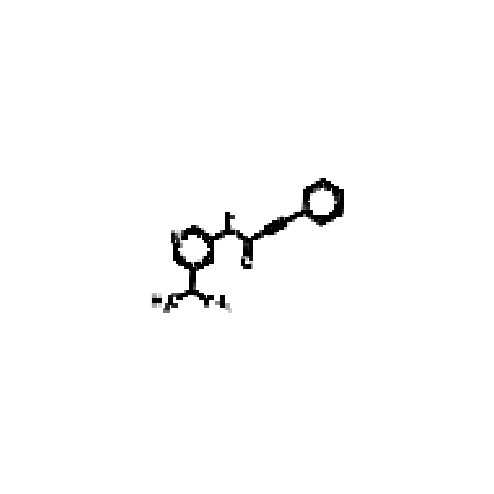 CC(C)c1cncc(NC(=O)C#Cc2ccccc2)c1